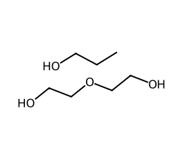 CCCO.OCCOCCO